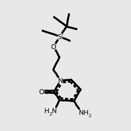 CC(C)(C)[Si](C)(C)OCCn1ccc(N)c(N)c1=O